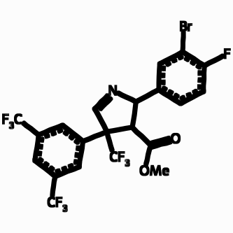 COC(=O)C1C(c2ccc(F)c(Br)c2)N=CC1(c1cc(C(F)(F)F)cc(C(F)(F)F)c1)C(F)(F)F